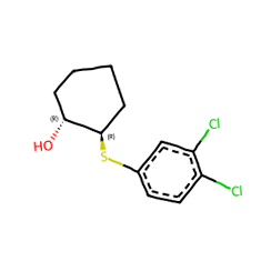 O[C@@H]1CCCC[C@H]1Sc1ccc(Cl)c(Cl)c1